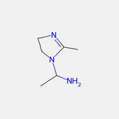 CC1=NCCN1C(C)N